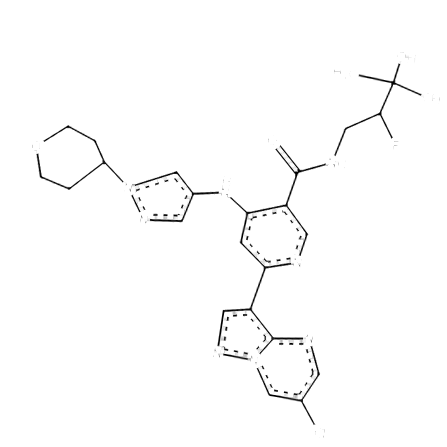 CC(C)(O)C(F)CNC(=O)c1cnc(-c2cnn3cc(Cl)cnc23)cc1Nc1cnn(C2CCOCC2)c1